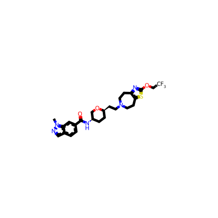 Cn1ncc2ccc(C(=O)N[C@H]3CC[C@H](CCN4CCc5nc(OCC(F)(F)F)sc5CC4)OC3)cc21